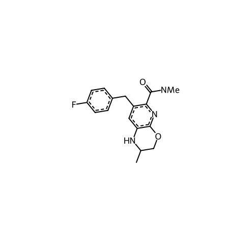 CNC(=O)c1nc2c(cc1Cc1ccc(F)cc1)NC(C)CO2